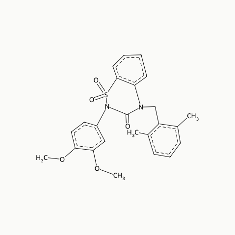 COc1ccc(N2C(=O)N(Cc3c(C)cccc3C)c3ccccc3S2(=O)=O)cc1OC